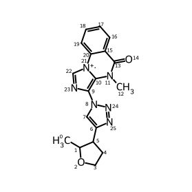 CC1OCCC1c1cn(C2=C3N(C)C(=O)c4ccccc4[N+]3C=N2)nn1